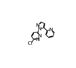 Clc1ccc(-n2nccc2-c2ccccn2)nn1